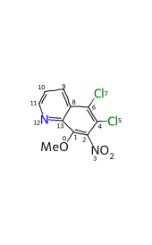 COc1c([N+](=O)[O-])c(Cl)c(Cl)c2cccnc12